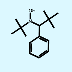 CC(C)(C)C(c1ccccc1)N(O)C(C)(C)C